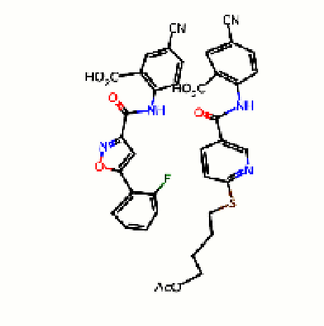 CC(=O)OCCCCSc1ccc(C(=O)Nc2ccc(C#N)cc2C(=O)O)cn1.N#Cc1ccc(NC(=O)c2cc(-c3ccccc3F)on2)c(C(=O)O)c1